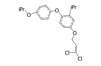 CC(C)Oc1ccc(Oc2ccc(OCC=C(Cl)Cl)cc2C(C)C)cc1